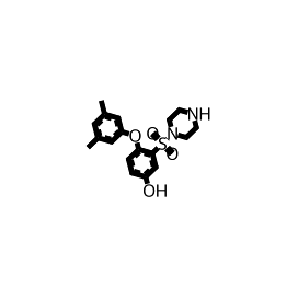 Cc1cc(C)cc(Oc2ccc(O)cc2S(=O)(=O)N2CCNCC2)c1